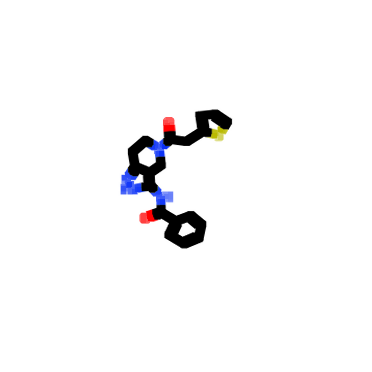 O=C(Nc1[nH]nc2c1CN(C(=O)Cc1cccs1)CC2)c1ccccc1